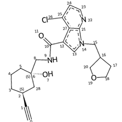 C#C[C@H]1CCC[C@@](O)(CNC(=O)c2cn(CC3CCOC3)c3nccc(Cl)c23)C1